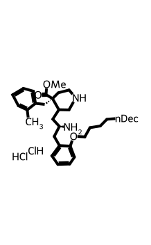 CCCCCCCCCCCCCCOc1ccccc1C[C@H](N)CC1CNCC[C@]1(Cc1ccccc1C)C(=O)OC.Cl.Cl